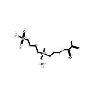 C=C(C)C(=O)OCCC[N+](C)(C)CCCCS(=O)(=O)O.[OH-]